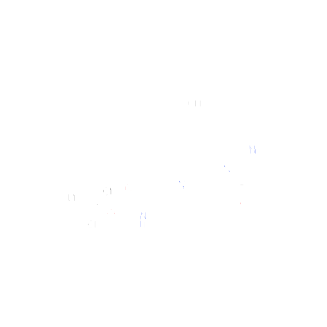 CCc1ccc2ncc(=O)n(CCN3CCC(NC(=O)OC(C)(C)C)CC3)c2c1